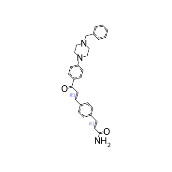 NC(=O)/C=C/c1ccc(/C=C/C(=O)c2ccc(N3CCN(Cc4ccccc4)CC3)cc2)cc1